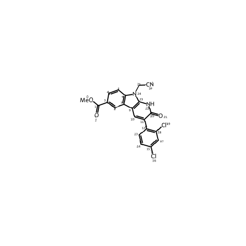 COC(=O)c1ccc2c(c1)c1cc(-c3ccc(Cl)cc3Cl)c(=O)[nH]c1n2CC#N